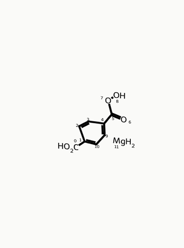 O=C(O)c1ccc(C(=O)OO)cc1.[MgH2]